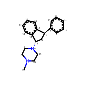 CN1CCN([C@H]2C[C@H](c3ccccc3)c3ccccc32)CC1